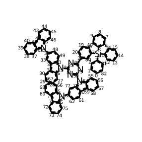 c1ccc([Si](c2ccccc2)(c2ccccc2)c2cccc(-c3nc(-n4c5ccccc5c5cc(-n6c7ccccc7c7ccccc76)ccc54)nc(-n4c5ccccc5c5ccc(-n6c7ccccc7c7ccccc76)cc54)n3)c2)cc1